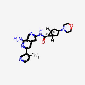 Cc1ccncc1-c1cc2cc(NC(=O)[C@H]3[C@@H]4CC(N5CCOCC5)C[C@@H]43)ncc2c(N)n1